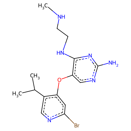 CNCCNc1nc(N)ncc1Oc1cc(Br)ncc1C(C)C